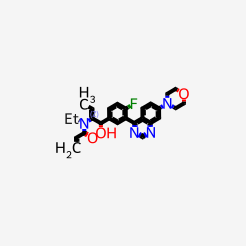 C=CC(=O)N(CC)/C(=C\C)C(O)c1ccc(F)c(-c2ncnc3cc(N4CCOCC4)ccc23)c1